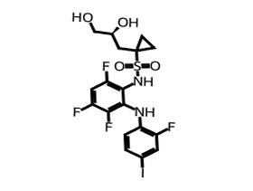 O=S(=O)(Nc1c(F)cc(F)c(F)c1Nc1ccc(I)cc1F)C1(C[C@H](O)CO)CC1